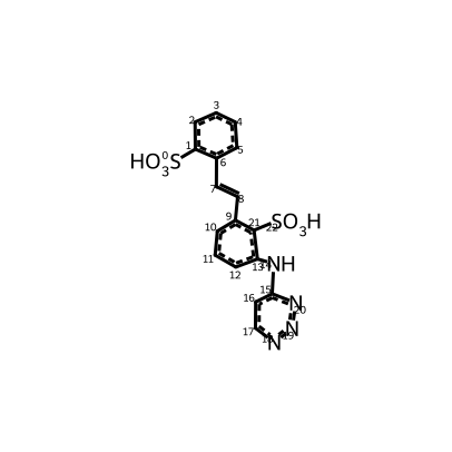 O=S(=O)(O)c1ccccc1C=Cc1cccc(Nc2ccnnn2)c1S(=O)(=O)O